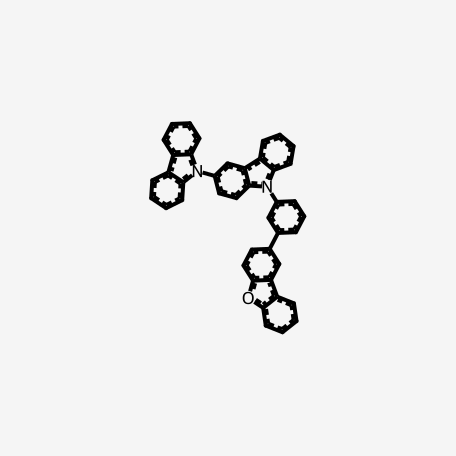 c1cc(-c2ccc3oc4ccccc4c3c2)cc(-n2c3ccccc3c3cc(-n4c5ccccc5c5ccccc54)ccc32)c1